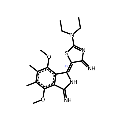 CCN(CC)C1=NC(=N)/C(=C2\NC(=N)c3c(OC)c(I)c(I)c(OC)c32)S1